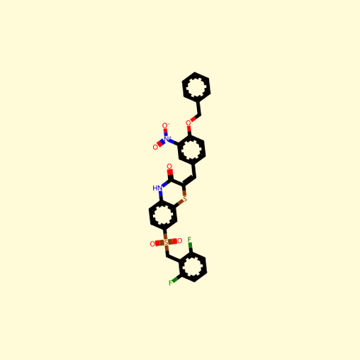 O=C1Nc2ccc(S(=O)(=O)Cc3c(F)cccc3F)cc2S/C1=C/c1ccc(OCc2ccccc2)c([N+](=O)[O-])c1